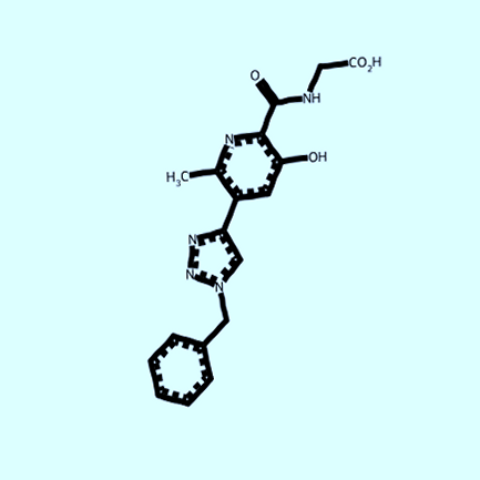 Cc1nc(C(=O)NCC(=O)O)c(O)cc1-c1cn(Cc2ccccc2)nn1